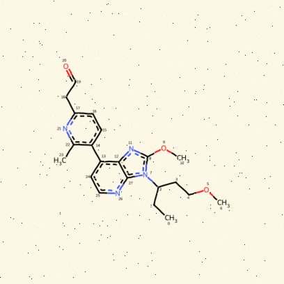 CCC(CCOC)n1c(OC)nc2c(-c3ccc(CC=O)nc3C)ccnc21